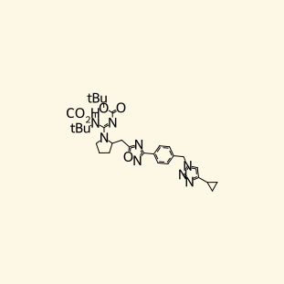 CC(C)(C)OC(=O)N=C(N1CCCC1Cc1nc(-c2ccc(Cn3cc(C4CC4)nn3)cc2)no1)N(C(=O)O)C(C)(C)C